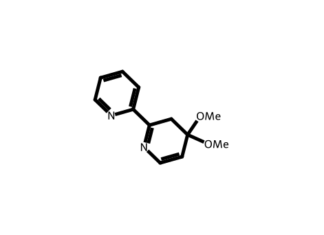 COC1(OC)C=CN=C(c2ccccn2)C1